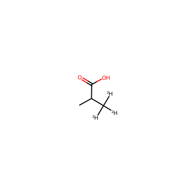 [2H]C([2H])([2H])C(C)C(=O)O